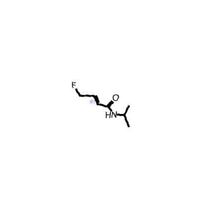 CC(C)NC(=O)/C=C/CF